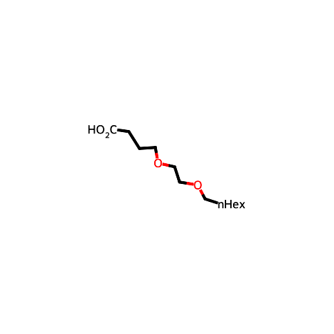 CCCCCCCOCCOCCCC(=O)O